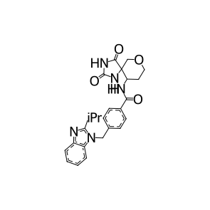 CC(C)c1nc2ccccc2n1Cc1ccc(C(=O)NC2CCOCC23NC(=O)NC3=O)cc1